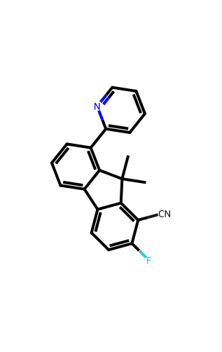 CC1(C)c2c(-c3ccccn3)cccc2-c2ccc(F)c(C#N)c21